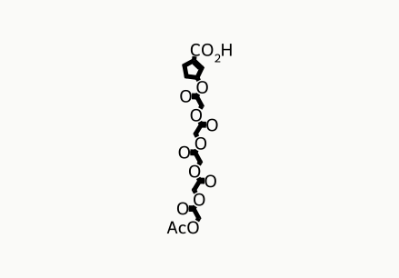 CC(=O)OCC(=O)OCC(=O)OCC(=O)OCC(=O)OCC(=O)OC1C=C(C(=O)O)CC1